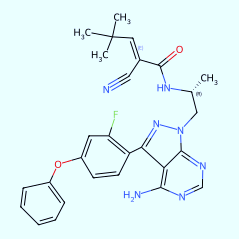 C[C@H](Cn1nc(-c2ccc(Oc3ccccc3)cc2F)c2c(N)ncnc21)NC(=O)/C(C#N)=C/C(C)(C)C